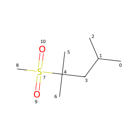 CC(C)CC(C)(C)S(C)(=O)=O